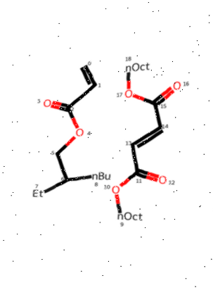 C=CC(=O)OCC(CC)CCCC.CCCCCCCCOC(=O)C=CC(=O)OCCCCCCCC